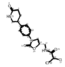 O=C1CCC(c2ccc(N3C[C@H](CNC(=O)C(Cl)Cl)OC3=O)cc2)CN1